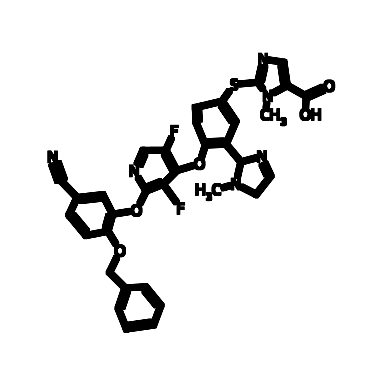 CN1CC=NC1c1cc(Sc2ncc(C(=O)O)n2C)ccc1Oc1c(F)cnc(Oc2cc(C#N)ccc2OCc2ccccc2)c1F